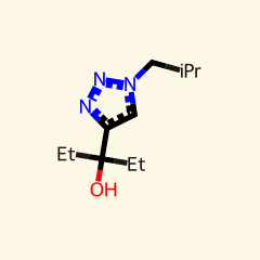 CCC(O)(CC)c1cn(CC(C)C)nn1